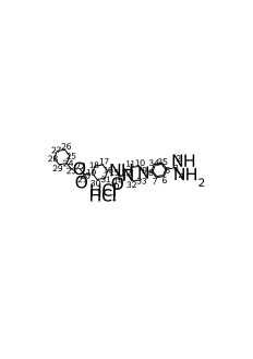 Cl.Cl.N=C(N)c1ccc(N2CCN(C(=O)N[C@H]3CC[C@H](C(=O)OCC4CCCCC4)CC3)CC2)cc1